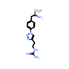 N=C(N)NCCc1cn(-c2ccc(C[C@H](N)C(=O)O)cc2)nn1